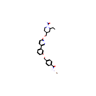 CCC1CC(COc2ccc(-c3cccc(OCc4ccc(C(=O)NS(C)(=O)=O)cc4)c3)cn2)CCN1C(N)=O